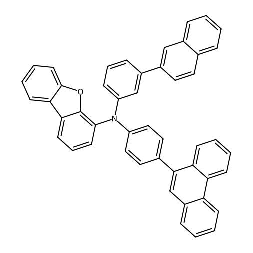 c1cc(-c2ccc3ccccc3c2)cc(N(c2ccc(-c3cc4ccccc4c4ccccc34)cc2)c2cccc3c2oc2ccccc23)c1